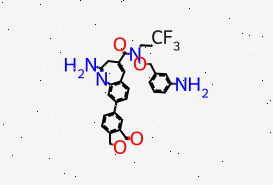 NC1=Nc2cc(-c3ccc4c(c3)C(=O)OC4)ccc2C=C(C(=O)N(CCC(F)(F)F)OCc2cccc(N)c2)C1